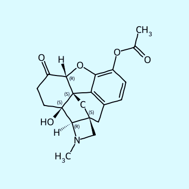 CC(=O)Oc1ccc2c3c1O[C@H]1C(=O)CC[C@@]4(O)[C@@H]5N(C)C[C@]5(C2)C[C@]314